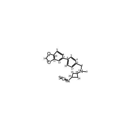 CN(Cc1ccc(-c2ccc3c(c2)OCO3)cc1)C1CC(N=C=S)C1